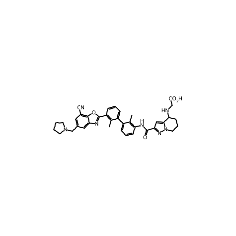 Cc1c(NC(=O)c2cc3n(n2)CCCC3NCC(=O)O)cccc1-c1cccc(-c2nc3cc(CN4CCCC4)cc(C#N)c3o2)c1C